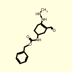 CNNC1=C(C=O)CC(NC(=O)OCc2ccccc2)CC1